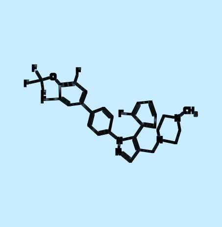 CN1CCN(Cc2cnn(-c3ccc(-c4cc(F)c(OC(F)(F)F)c(F)c4)cc3)c2-c2ccccc2F)CC1